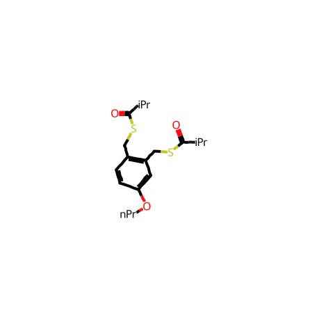 CCCOc1ccc(CSC(=O)C(C)C)c(CSC(=O)C(C)C)c1